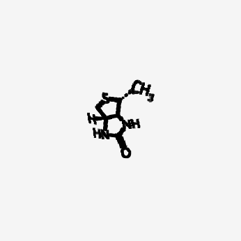 C[C@H]1SC[C@H]2NC(=O)NC21